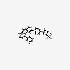 CS(=O)(=O)[C@@H]1CCN(c2ncc(-c3ccc4nc5n(c4c3)[C@@H](c3ccccc3)COC5)cn2)C1